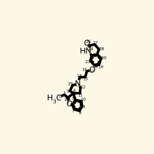 CCC(=O)C1(c2ccccc2)CCN(CCCOc2ccc3c(c2)NC(=O)CC3)CC1